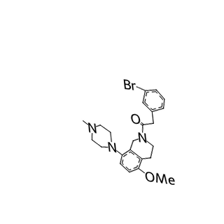 COc1ccc(N2CCN(C)CC2)c2c1CCN(C(=O)Cc1cccc(Br)c1)C2